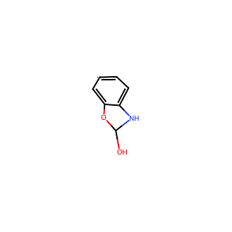 OC1Nc2cc[c]cc2O1